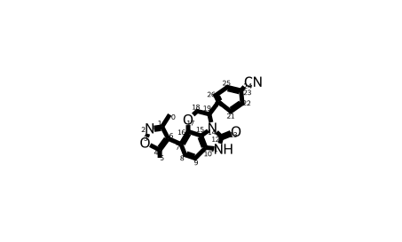 Cc1noc(C)c1-c1ccc2[nH]c(=O)n3c2c1OCC3c1ccc(C#N)cc1